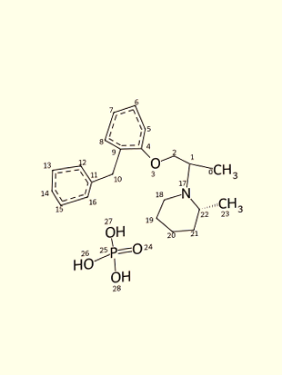 CC(COc1ccccc1Cc1ccccc1)N1CCCC[C@H]1C.O=P(O)(O)O